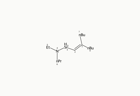 CCCCC(=C[SiH2]N(CC)CCC)CCCC